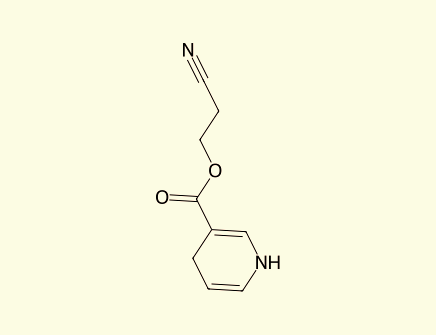 N#CCCOC(=O)C1=CNC=CC1